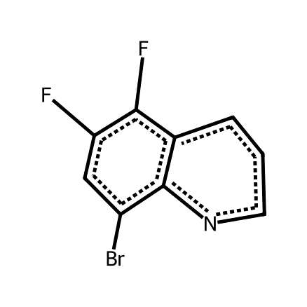 Fc1cc(Br)c2ncccc2c1F